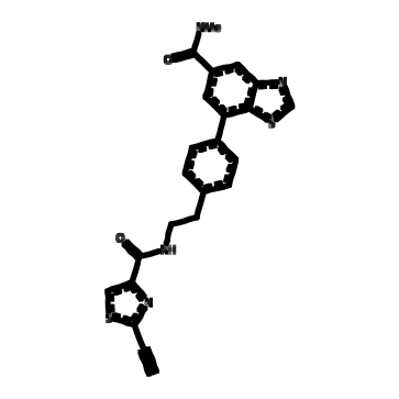 C#Cc1nc(C(=O)NCCc2ccc(-c3cc(C(=O)NC)cc4ncsc34)cc2)cs1